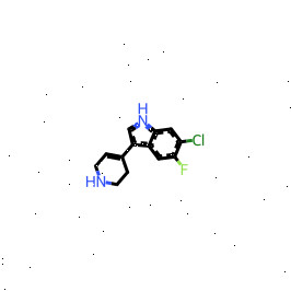 Fc1cc2c(C3=CCNCC3)c[nH]c2cc1Cl